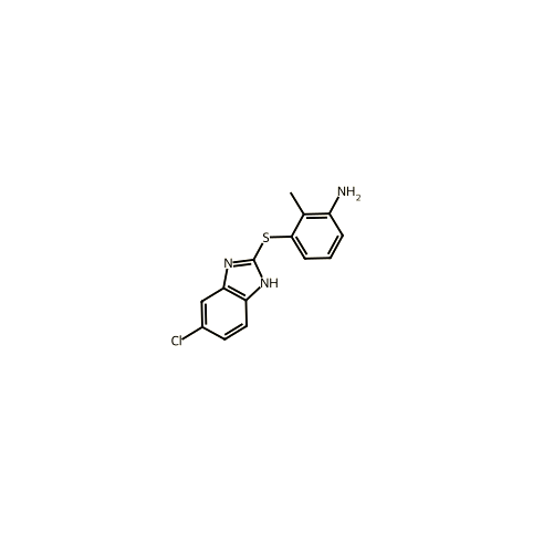 Cc1c(N)cccc1Sc1nc2cc(Cl)ccc2[nH]1